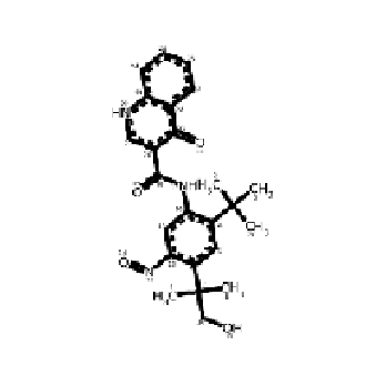 CC(C)(C)c1cc(C(C)(C)CO)c(N=O)cc1NC(=O)c1c[nH]c2ccccc2c1=O